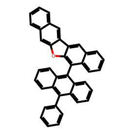 c1ccc(-c2c3ccccc3c(-c3c4ccccc4cc4c3oc3cc5ccccc5cc34)c3ccccc23)cc1